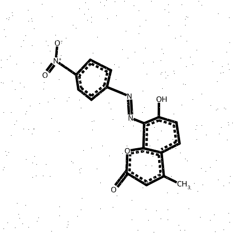 Cc1cc(=O)oc2c(/N=N/c3ccc([N+](=O)[O-])cc3)c(O)ccc12